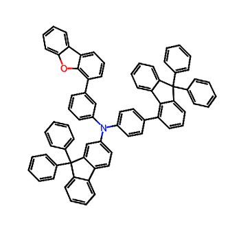 c1ccc(C2(c3ccccc3)c3ccccc3-c3ccc(N(c4ccc(-c5cccc6c5-c5ccccc5C6(c5ccccc5)c5ccccc5)cc4)c4cccc(-c5cccc6c5oc5ccccc56)c4)cc32)cc1